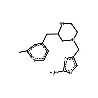 Cc1cc(CC2CN(Cc3cnc(N)s3)CCN2)ccn1